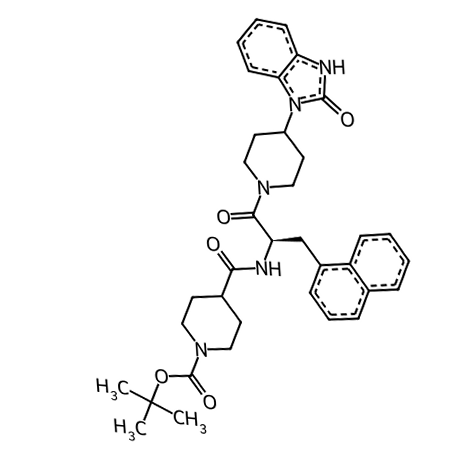 CC(C)(C)OC(=O)N1CCC(C(=O)N[C@H](Cc2cccc3ccccc23)C(=O)N2CCC(n3c(=O)[nH]c4ccccc43)CC2)CC1